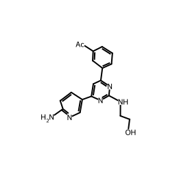 CC(=O)c1cccc(-c2cc(-c3ccc(N)nc3)nc(NCCO)n2)c1